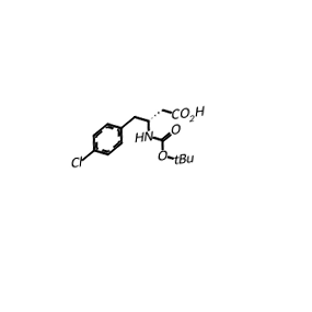 CC(C)(C)OC(=O)N[C@@H](CC(=O)O)Cc1ccc(Cl)cc1